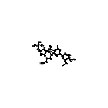 COc1cc(-c2cc(C)c3c(n2)[C@@H](CCCO)N(c2cnn(CC(F)(F)F)c2)C3=O)cnc1OC